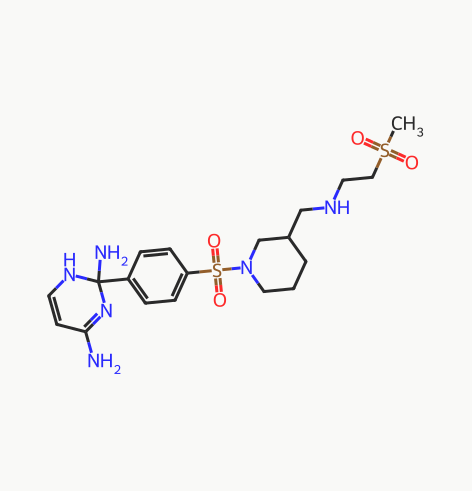 CS(=O)(=O)CCNCC1CCCN(S(=O)(=O)c2ccc(C3(N)N=C(N)C=CN3)cc2)C1